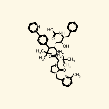 Cc1cccc(CN2CCN([C@H](C(=O)N[C@@H](C[C@@H](O)[C@H](Cc3ccccc3)NC(=O)O)C(c3ccc(-c4ccccn4)cc3)C(C)(C)C)C(C)(C)C)C2=O)n1